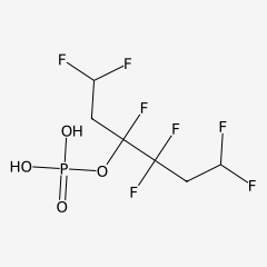 O=P(O)(O)OC(F)(CC(F)F)C(F)(F)CC(F)F